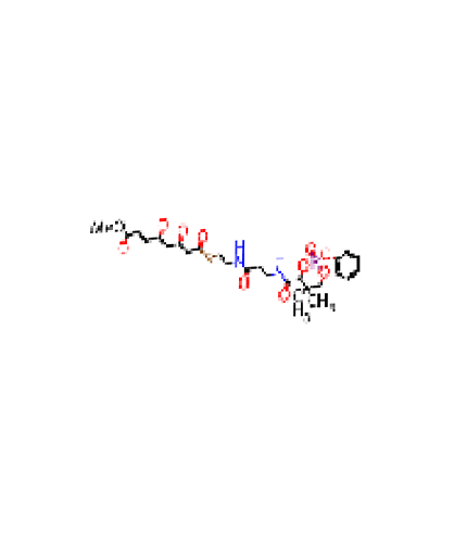 COC(=O)/C=C/C(=O)CC(=O)CC(=O)SCCNC(=O)CCNC(=O)[C@@H]1OP(=O)(Oc2ccccc2)OCC1(C)C